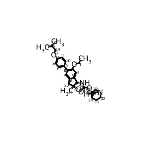 CCOc1cc2c(cc1-c1ccc(OCC(C)C)cc1)CC(C)(C)[C@H]2NC(=O)O[C@@H]1CN2CCC1CC2